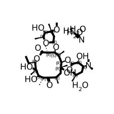 CC[C@H]1OC(=O)[C@H](C)[C@@H](O[C@H]2C[C@@](C)(OC)[C@@H](O)[C@H](C)O2)[C@@H](C)[C@@H](O[C@@H]2O[C@H](C)C[C@H](N(C)C)[C@H]2O)[C@](C)(O)C[C@@H](C)C(=O)[C@H](C)[C@H](O)[C@]1(C)O.N#CS.O.O.O